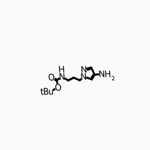 CC(C)(C)OC(=O)NCCCn1cc(N)cn1